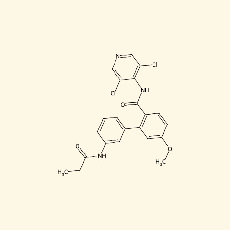 CCC(=O)Nc1cccc(-c2cc(OC)ccc2C(=O)Nc2c(Cl)cncc2Cl)c1